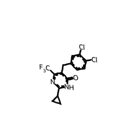 O=c1[nH]c(C2CC2)nc(C(F)(F)F)c1Cc1ccc(Cl)c(Cl)c1